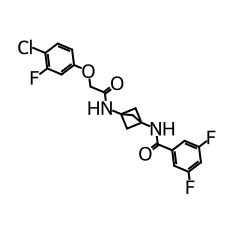 O=C(COc1ccc(Cl)c(F)c1)NC12CC(NC(=O)c3cc(F)cc(F)c3)(C1)C2